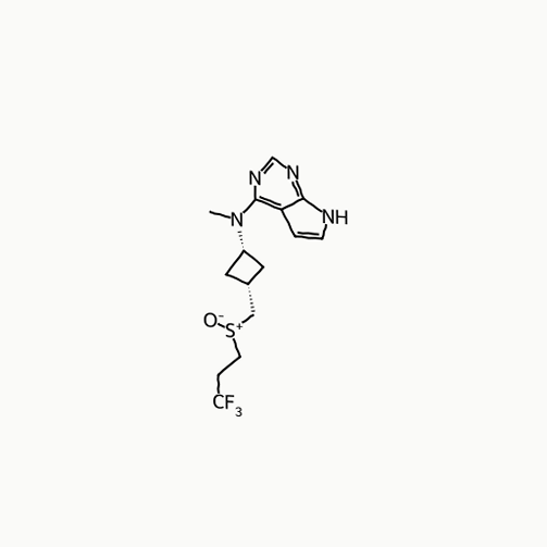 CN(c1ncnc2[nH]ccc12)[C@H]1C[C@@H](C[S+]([O-])CCC(F)(F)F)C1